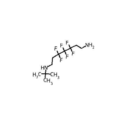 CC(C)(C)NCCC(F)(F)C(F)(F)C(F)(F)CCN